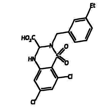 CCc1cccc(CN2C(C(=O)O)Nc3cc(Cl)cc(Cl)c3S2(=O)=O)c1